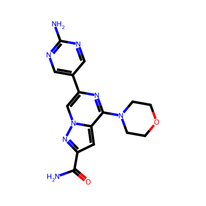 NC(=O)c1cc2c(N3CCOCC3)nc(-c3cnc(N)nc3)cn2n1